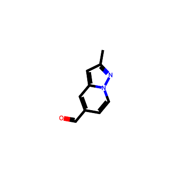 Cc1cc2cc(C=O)ccn2n1